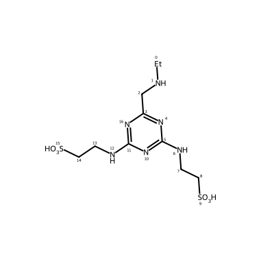 CCNCc1nc(NCCS(=O)(=O)O)nc(NCCS(=O)(=O)O)n1